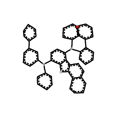 c1ccc(-c2cccc(N(c3ccccc3)c3ccc(N(c4ccccc4)c4ccccc4-c4ccccc4)c4c3oc3c5ccccc5ccc34)c2)cc1